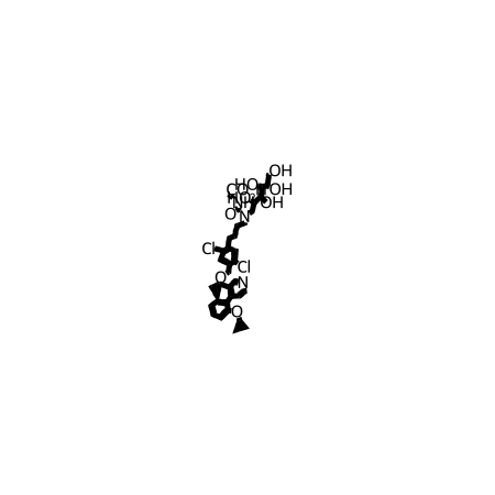 O=C(O)CNC(=O)N(CCCCc1cc(Cl)c(COC2(c3cnccc3-c3ccccc3OC3CC3)CC2)cc1Cl)CC(O)C(O)C(O)C(O)CO